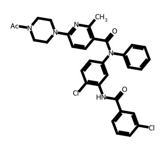 CC(=O)N1CCN(c2ccc(C(=O)N(c3ccccc3)c3ccc(Cl)c(NC(=O)c4cccc(Cl)c4)c3)c(C)n2)CC1